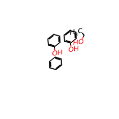 CCO.Oc1ccccc1.Oc1ccccc1.c1ccccc1